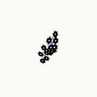 c1ccc(N(c2ccc3c4c(c5ccccc5c3c2)-c2cc(N(c3ccccc3)c3cccc5c3sc3ccccc35)c3ccccc3c2C42c3ccccc3-c3ccccc32)c2cccc3c2sc2ccccc23)cc1